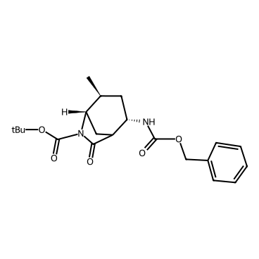 C[C@H]1C[C@H](NC(=O)OCc2ccccc2)C2C[C@@H]1N(C(=O)OC(C)(C)C)C2=O